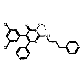 Cn1c(NCCCc2ccccc2)nc(-c2ccncc2)c(-c2cc(Cl)cc(Cl)c2)c1=O